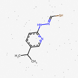 CC(C)c1ccc(N/N=C/S)nc1